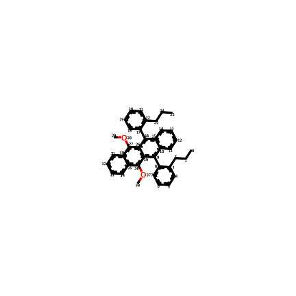 CCCc1ccccc1-c1c2ccccc2c(-c2ccccc2CCC)c2c(OC)c3ccccc3c(OC)c12